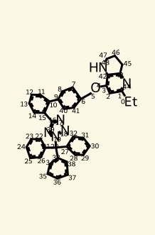 CCc1cc(OCc2ccc(-c3ccccc3-c3nnn(C(c4ccccc4)(c4ccccc4)c4ccccc4)n3)cc2)c2c(n1)CCCN2